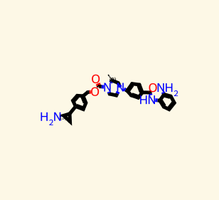 C[C@@H]1CN(c2ccc(C(=O)Nc3ccccc3N)cc2)CCN1C(=O)OCc1ccc(C2C[C@@H]2N)cc1